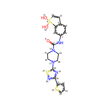 O=C(Nc1ccc2c(c1)S(O)(O)C=C2)N1CCN(c2nc(-c3cccs3)ns2)CC1